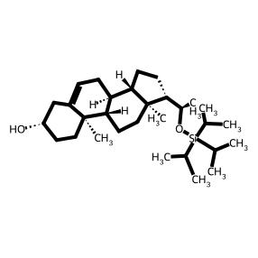 CC(C)[Si](O[C@H](C)[C@H]1CC[C@H]2[C@@H]3CC=C4C[C@@H](O)CC[C@]4(C)[C@H]3CC[C@]12C)(C(C)C)C(C)C